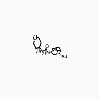 CC(C)(C)C1C2CC3CC1CC(NC(=O)NC1CCOCC1)(C3)C2